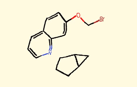 BrCOc1ccc2cccnc2c1.C1CC2CC2C1